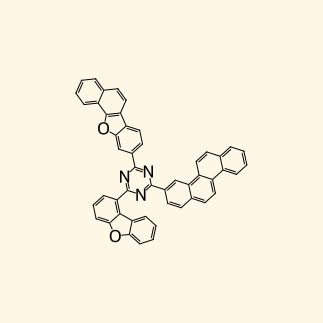 c1ccc2c(c1)ccc1c3cc(-c4nc(-c5ccc6c(c5)oc5c7ccccc7ccc65)nc(-c5cccc6oc7ccccc7c56)n4)ccc3ccc21